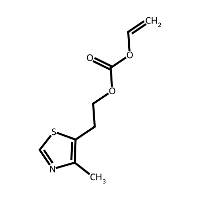 C=COC(=O)OCCc1scnc1C